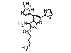 CCCC[S+]([O-])c1sc2nc(-c3nccs3)cc(-c3cnc(C)[nH]3)c2c1N